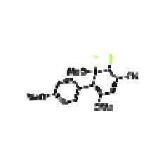 COC1=C(c2ccc(OC)cc2)C(F)(OC)C(F)C(C#N)=C1